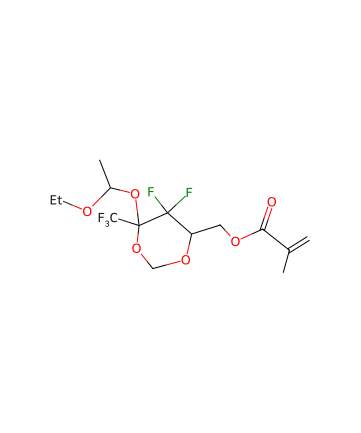 C=C(C)C(=O)OCC1OCOC(OC(C)OCC)(C(F)(F)F)C1(F)F